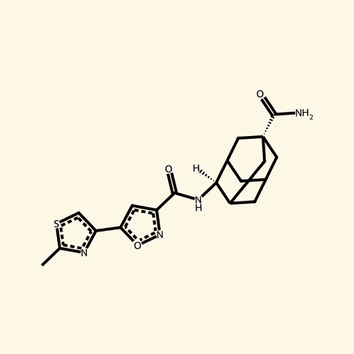 Cc1nc(-c2cc(C(=O)N[C@H]3C4CC5CC3C[C@](C(N)=O)(C5)C4)no2)cs1